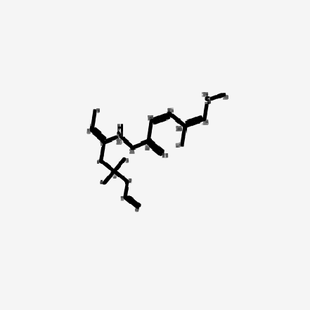 C=CCC(C)(C)C/C(=C/C)NCC(=C)/C=C\C(C)=C/SC